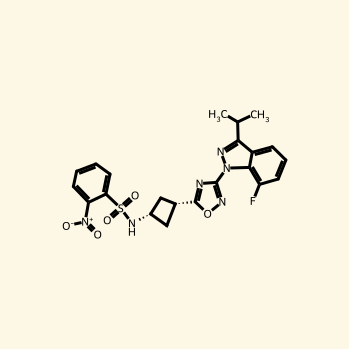 CC(C)c1nn(-c2noc([C@H]3C[C@@H](NS(=O)(=O)c4ccccc4[N+](=O)[O-])C3)n2)c2c(F)cccc12